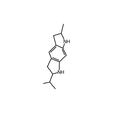 CC1Cc2cc3c(cc2N1)NC(C(C)C)C3